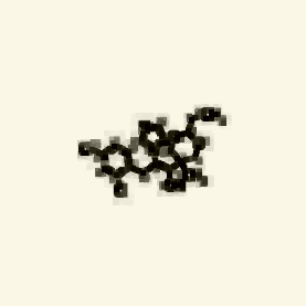 CCC1OCC(C)(C(O)=C(Cc2ccc(Cl)cc2Cl)n2cncn2)CO1